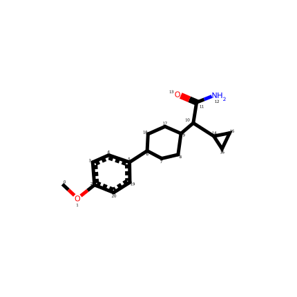 COc1ccc(C2CCC(C(C(N)=O)C3CC3)CC2)cc1